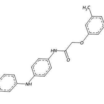 Cc1cccc(OCC(=O)Nc2ccc(Nc3ccccc3)cc2)c1